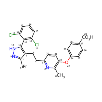 Cc1nc(CCc2c(C(C)C)n[nH]c2-c2c(Cl)cccc2Cl)ccc1Oc1ccc(C(=O)O)cc1